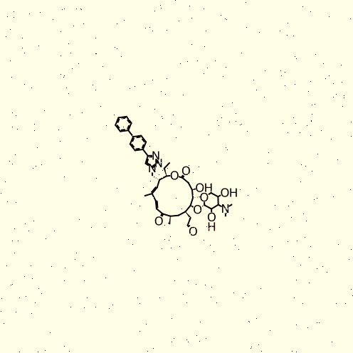 CC[C@H]1OC(=O)C[C@@H](O)[C@H](C)[C@@H](O[C@@H]2O[C@H](C)C(O)C(N(C)C)C2O)[C@@H](CC=O)C[C@@H](C)C(=O)/C=C/C(C)=C/[C@@H]1Cn1cc(-c2ccc(-c3ccccc3)cc2)nn1